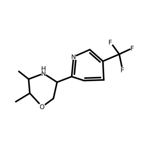 CC1NC(c2ccc(C(F)(F)F)cn2)COC1C